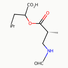 CC(C)CC(OC(=O)[C@H](C)CNC=O)C(=O)O